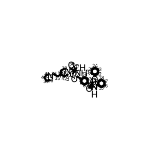 CC(C)(NC(=O)c1ccc(S(=O)(=O)Nc2ccccc2Oc2ccccc2)cc1)C(=O)N1CCC(CCN2CCCC2)CC1